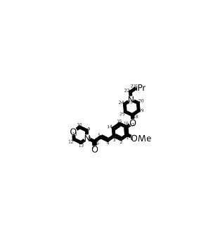 COc1cc(/C=C/C(=O)N2CCOCC2)ccc1OC1CCN(CC(C)C)CC1